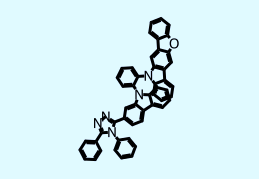 c1ccc(-c2nnc(-c3ccc4c5ccccc5n(-c5ccccc5-n5c6ccccc6c6cc7oc8ccccc8c7cc65)c4c3)n2-c2ccccc2)cc1